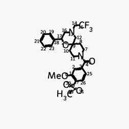 COc1cc(C(=O)N2CCC3(CC2)CN(CC(F)(F)F)CC(c2ccccc2)O3)ccc1S(C)(=O)=O